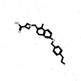 CCCc1ccc(COc2ccc3c(c2)CCC(CN2CC(C(=O)O)C2)=C3C)cc1